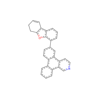 C1=Cc2c(oc3c(-c4ccc5c6ccccc6c6cnccc6c5c4)cccc23)CC1